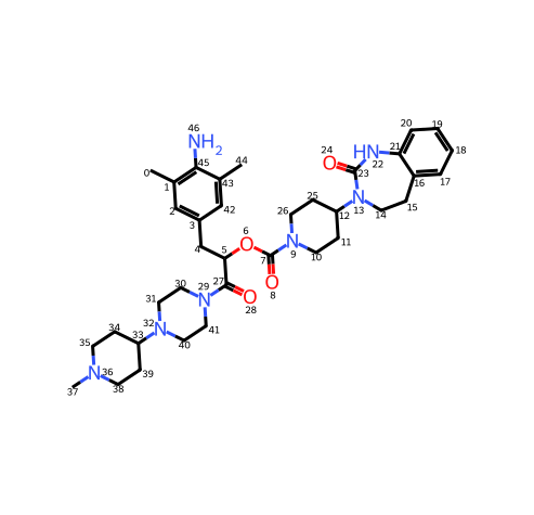 Cc1cc(CC(OC(=O)N2CCC(N3CCc4ccccc4NC3=O)CC2)C(=O)N2CCN(C3CCN(C)CC3)CC2)cc(C)c1N